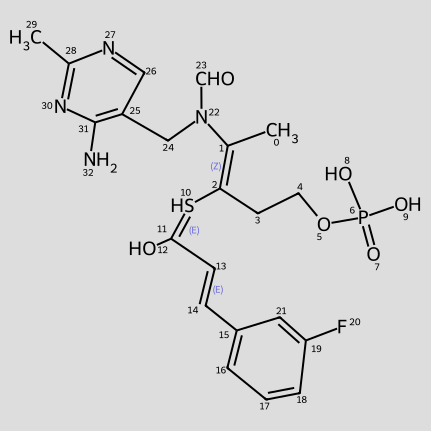 C/C(=C(CCOP(=O)(O)O)/[SH]=C(O)\C=C\c1cccc(F)c1)N(C=O)Cc1cnc(C)nc1N